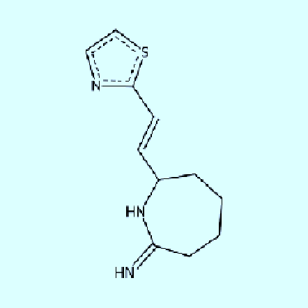 N=C1CCCCC(C=Cc2nccs2)N1